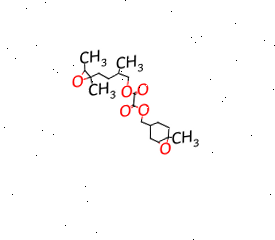 CC(CCC1(C)OC1C)COC(=O)C(=O)OCC1CCC2(C)OC2C1